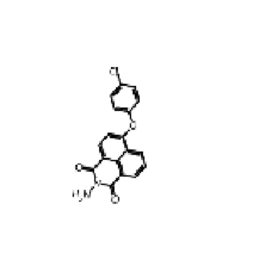 NN1C(=O)c2cccc3c(Oc4ccc(Cl)cc4)ccc(c23)C1=O